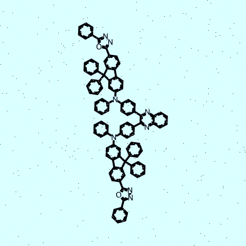 c1ccc(-c2nnc(-c3ccc4c(c3)C(c3ccccc3)(c3ccccc3)c3cc(N(c5ccccc5)c5ccc(-c6nc7ccccc7nc6-c6ccc(N(c7ccccc7)c7ccc8c(c7)C(c7ccccc7)(c7ccccc7)c7cc(-c9nnc(-c%10ccccc%10)o9)ccc7-8)cc6)cc5)ccc3-4)o2)cc1